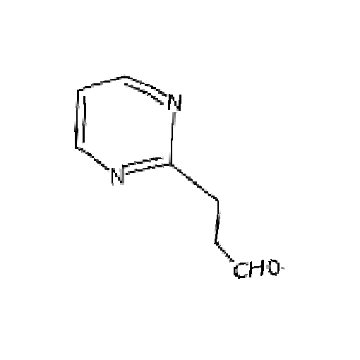 O=[C]CCc1ncccn1